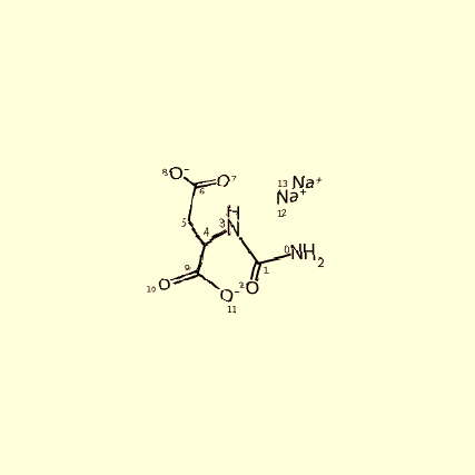 NC(=O)NC(CC(=O)[O-])C(=O)[O-].[Na+].[Na+]